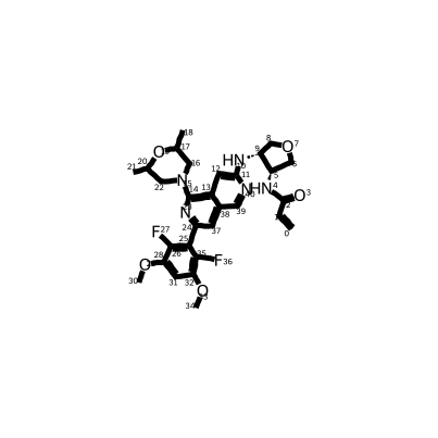 C=CC(=O)N[C@H]1COC[C@H]1Nc1cc2c(N3CC(C)OC(C)C3)nc(-c3c(F)c(OC)cc(OC)c3F)cc2cn1